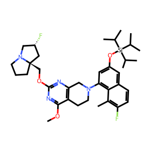 COc1nc(OC[C@@]23CCCN2C[C@H](F)C3)nc2c1CCN(c1cc(O[Si](C(C)C)(C(C)C)C(C)C)cc3ccc(F)c(C)c13)C2